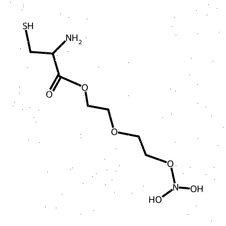 NC(CS)C(=O)OCCOCCON(O)O